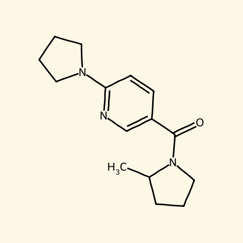 CC1CCCN1C(=O)c1ccc(N2CCCC2)nc1